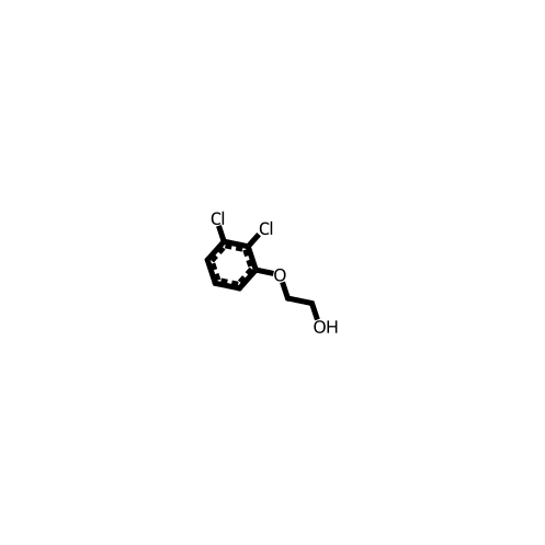 OCCOc1cccc(Cl)c1Cl